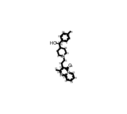 Cc1ccc([C@H](O)C2CCN(CCc3c(C)nc4ccccn4c3=O)CC2)cc1